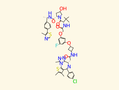 Cc1ncsc1-c1ccc([C@H](C)NC(=O)[C@@H]2C[C@@H](O)CN2C(=O)[C@@H](NC(=O)COc2cc(F)cc(O[C@H]3C[C@@H](NC(=O)C[C@@H]4N=C(c5ccc(Cl)cc5)c5c(sc(C)c5C)-n5c(C)nnc54)C3)c2)C(C)(C)C)cc1